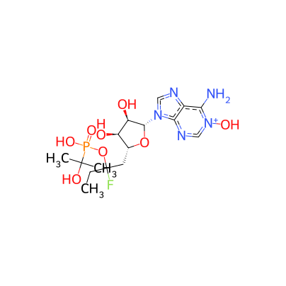 CCC(F)(C[C@H]1O[C@@H](n2cnc3c(N)[n+](O)cnc32)[C@H](O)[C@@H]1O)OP(=O)(O)C(C)(C)O